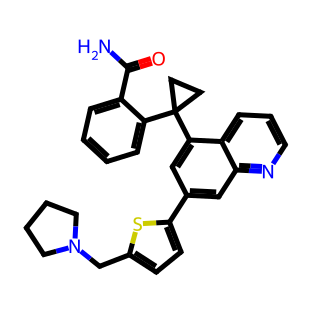 NC(=O)c1ccccc1C1(c2cc(-c3ccc(CN4CCCC4)s3)cc3ncccc23)CC1